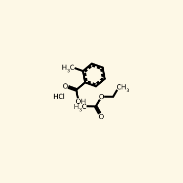 CCOC(C)=O.Cc1ccccc1C(=O)O.Cl